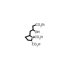 CCOC(=O)CC(O)CC1CC[C@@H](C(=O)O)N1C(=O)O